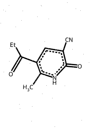 CCC(=O)c1cc(C#N)c(=O)[nH]c1C